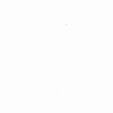 Cc1ccc(N(c2ccccc2)c2ccc3c(c2)oc2ccc4c(ccc5oc6cc(N(c7ccccc7)c7ccc(C)cc7)ccc6c54)c23)cc1